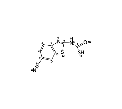 N#Cc1ccc2nc(NC(=O)S)sc2c1